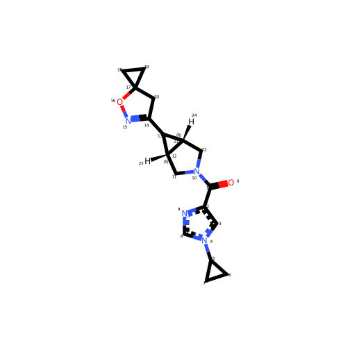 O=C(c1cn(C2CC2)cn1)N1C[C@@H]2C(C3=NOC4(CC4)C3)[C@@H]2C1